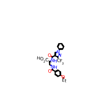 CCOc1ccc(C(=O)NC[C@@H](NC(=O)c2cn(-c3ccccc3)nc2C(F)(F)F)C(=O)O)cc1